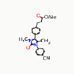 COC(=O)CCc1ccc(-c2c(C)n(-c3ccc(C#N)cc3)c(=O)n2C)cc1